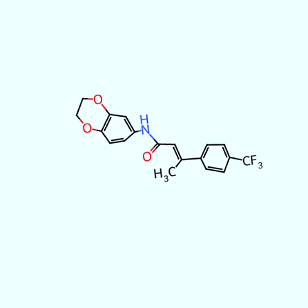 C/C(=C\C(=O)Nc1ccc2c(c1)OCCO2)c1ccc(C(F)(F)F)cc1